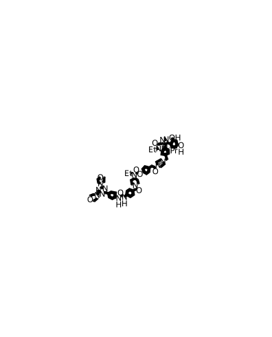 CCNC(=O)c1nnc(-c2cc(C(C)C)c(O)cc2O)n1-c1ccc(CN2CCN(C(=O)Cc3ccc(OC(=O)N(CC)C4CCN(C(=O)c5ccc(NC(=O)Nc6ccc(-c7nc(N8CCOCC8)nc(N8CCOCC8)n7)cc6)cc5)CC4)cc3)CC2)cc1